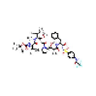 CCC(C)[C@@H]([C@@H](CC(=O)N1CCC[C@H]1[C@H](OC)[C@@H](C)C(=O)N[C@@H](Cc1ccccc1)C(=O)NS(=O)(=O)c1ccc(NC(=O)C(F)(F)F)cc1)OC)N(C)C(=O)[C@@H](NC(=O)OC(C)(C)C)C(C)C